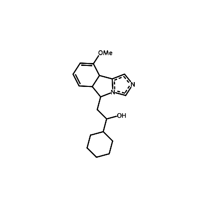 COC1=CC=CC2C1c1cncn1C2CC(O)C1CCCCC1